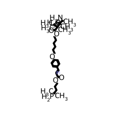 CC(C)C(C)(C)C(C)(C(=O)OCCCCCCOc1ccc(/C=C/C(=O)OCCCC(C)(C)P)cc1)C(C)(C)C(C)N